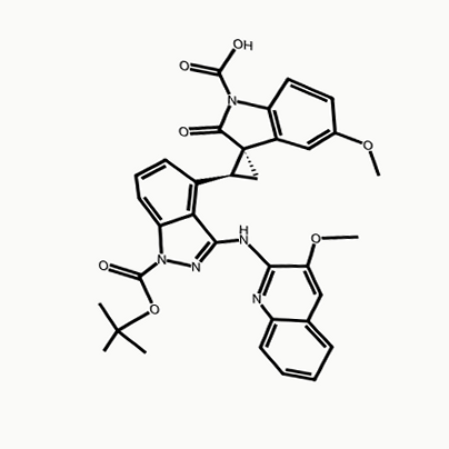 COc1ccc2c(c1)[C@]1(C[C@H]1c1cccc3c1c(Nc1nc4ccccc4cc1OC)nn3C(=O)OC(C)(C)C)C(=O)N2C(=O)O